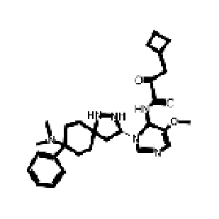 COC1=CN=CN([C@@H]2CC3(CCC(c4ccccc4)(N(C)C)CC3)NN2)C1NC(=O)C(=O)CC1CCC1